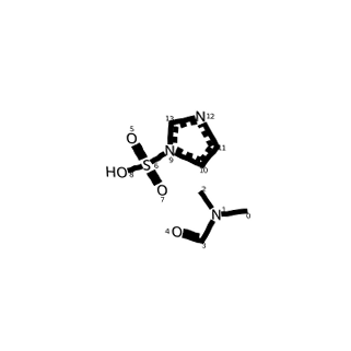 CN(C)C=O.O=S(=O)(O)n1ccnc1